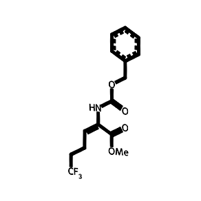 COC(=O)C(=CCCC(F)(F)F)NC(=O)OCc1ccccc1